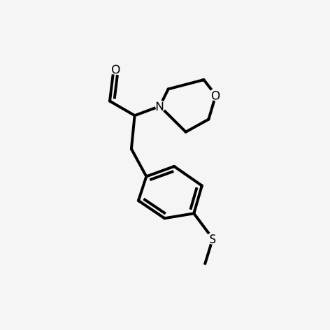 CSc1ccc(CC(C=O)N2CCOCC2)cc1